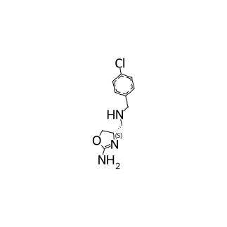 NC1=N[C@@H](CNCc2ccc(Cl)cc2)CO1